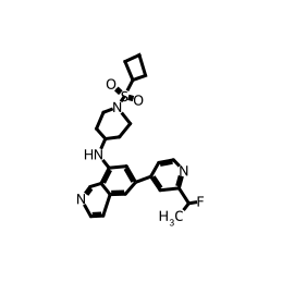 CC(F)c1cc(-c2cc(NC3CCN(S(=O)(=O)C4CCC4)CC3)c3cnccc3c2)ccn1